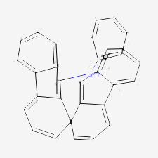 C1=CC2(C=CC=C3C2=C(Nc2ccccc2)c2ccccc23)C2=Cc3ccccc3C2=C1